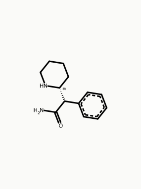 NC(=O)C(c1ccccc1)[C@H]1CCCCN1